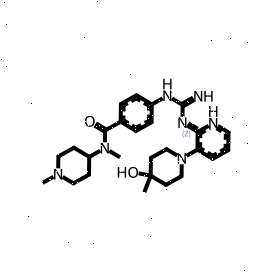 CN1CCC(N(C)C(=O)c2ccc(NC(=N)/N=c3\[nH]cccc3N3CCC(C)(O)CC3)cc2)CC1